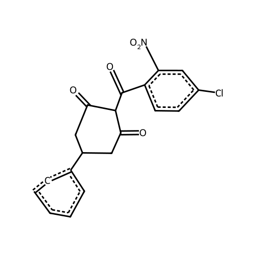 O=C1CC(c2ccccc2)CC(=O)C1C(=O)c1ccc(Cl)cc1[N+](=O)[O-]